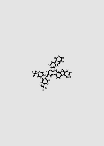 CC(C)(C)c1ccc2c(c1)c1cc(C(C)(C)C)ccc1n2-c1cc2c3ccc4c5ccccc5oc4c3n3c2c(c1)c1ccc2c4ccccc4oc2c13